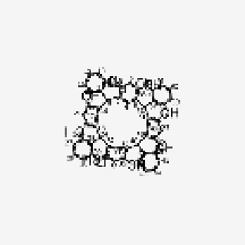 Oc1cc(O)c2cc1C(c1ccccc1Cl)c1cc(c(O)cc1O)C(c1ccccc1Cl)c1cc(c(O)cc1O)C(c1ccccc1Cl)c1cc(c(O)cc1O)C2c1ccccc1Cl